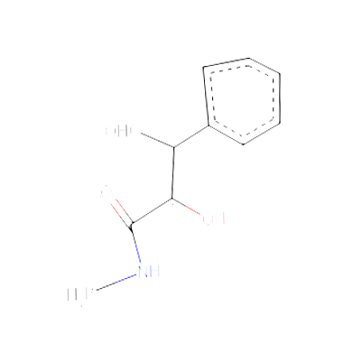 BNC(=O)C(O)C(C=O)c1ccccc1